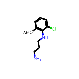 COc1cccc(Cl)c1NCCCN